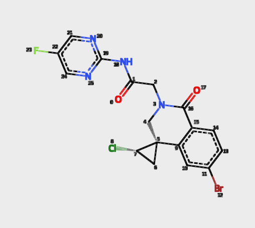 O=C(CN1C[C@@]2(C[C@@H]2Cl)c2cc(Br)ccc2C1=O)Nc1ncc(F)cn1